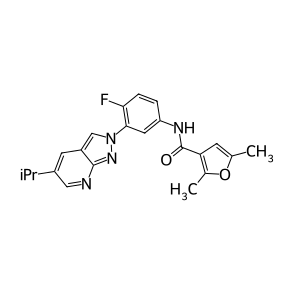 Cc1cc(C(=O)Nc2ccc(F)c(-n3cc4cc(C(C)C)cnc4n3)c2)c(C)o1